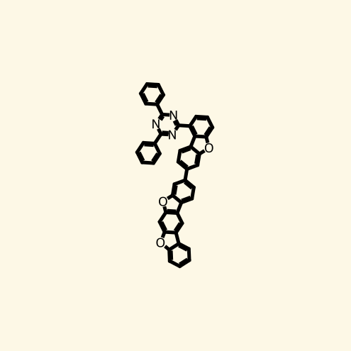 c1ccc(-c2nc(-c3ccccc3)nc(-c3cccc4oc5cc(-c6ccc7c(c6)oc6cc8oc9ccccc9c8cc67)ccc5c34)n2)cc1